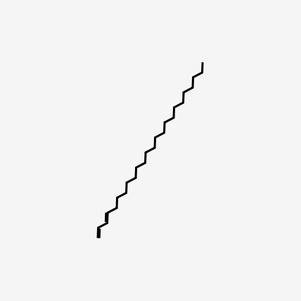 C=CC=CCCCCCCCCCCCCCCCCCCCC